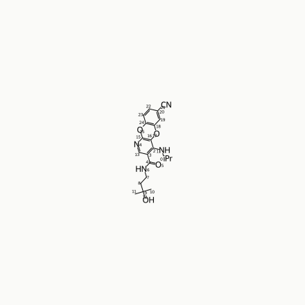 CC(C)Nc1c(C(=O)NCCC(C)(C)O)cnc2c1Oc1cc(C#N)ccc1O2